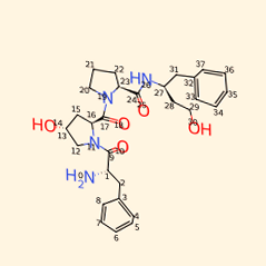 N[C@@H](Cc1ccccc1)C(=O)N1C[C@H](O)C[C@H]1C(=O)N1CCC[C@H]1C(=O)N[C@H](CCO)Cc1ccccc1